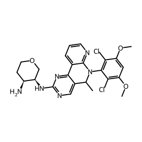 COc1cc(OC)c(Cl)c(N2c3ncccc3-c3nc(N[C@@H]4COCC[C@@H]4N)ncc3C2C)c1Cl